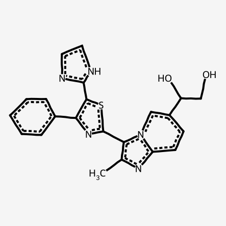 Cc1nc2ccc(C(O)CO)cn2c1-c1nc(-c2ccccc2)c(-c2ncc[nH]2)s1